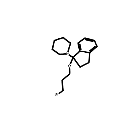 BrCCCOC1(N2CCCCC2)CCc2ccccc21